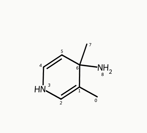 CC1=CNC=CC1(C)N